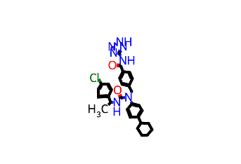 CC(NC(=O)N(Cc1ccc(C(=O)Nc2nn[nH]n2)cc1)c1ccc(C2CCCCC2)cc1)c1ccc(Cl)cc1